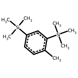 Cc1ccc([Si](C)(C)C)cc1[Si](C)(C)C